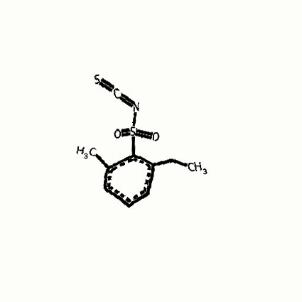 CCc1cccc(C)c1S(=O)(=O)N=C=S